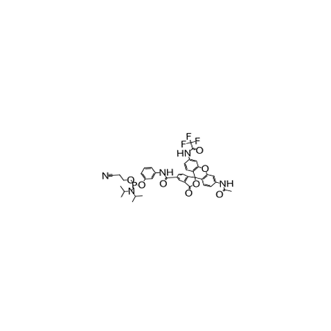 CC(=O)Nc1ccc2c(c1)Oc1cc(NC(=O)C(F)(F)F)ccc1C21OC(=O)c2cc(C(=O)Nc3cccc(OP(OCCC#N)N(C(C)C)C(C)C)c3)ccc21